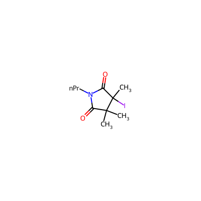 CCCN1C(=O)C(C)(C)C(C)(I)C1=O